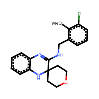 COc1c(Cl)cccc1CNC1=Nc2ccccc2NC12CCOCC2